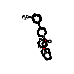 O=C(CN1CC2CCC(C1)N2c1ccncn1)N1CC=C(c2cccc(C(F)(F)F)c2)CC1